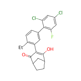 CCc1ccc(-c2c(F)cc(Cl)cc2Cl)cc1C1=C(O)C2CCC(C2)C1=O